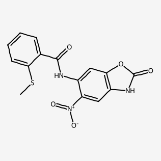 CSc1ccccc1C(=O)Nc1cc2oc(=O)[nH]c2cc1[N+](=O)[O-]